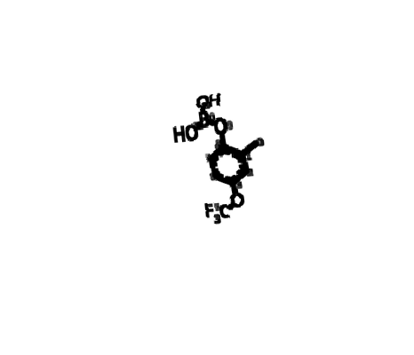 Cc1cc(OC(F)(F)F)ccc1OB(O)O